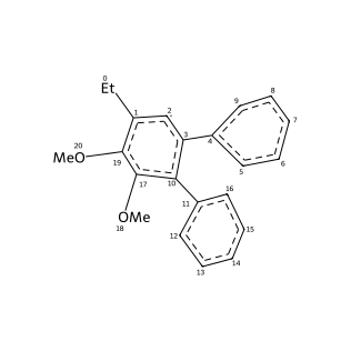 CCc1[c]c(-c2ccccc2)c(-c2ccccc2)c(OC)c1OC